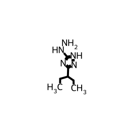 CCC(CC)c1n[nH]c(NN)n1